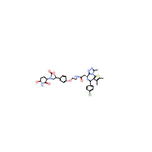 Cc1sc2c(c1C)C(c1ccc(Cl)cc1)=N[C@@H](CC(=O)NCCOc1ccc(C3CN(C4CCC(=O)NC4=O)C(=O)O3)cc1)c1nnc(C)n1-2